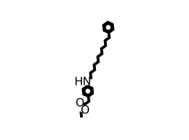 CCOC(=O)Cc1ccc(NCCCCCCCCCCCc2ccccc2)cc1